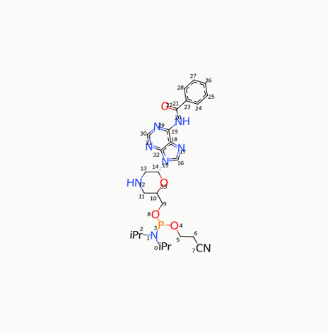 CC(C)N(C(C)C)P(OCCC#N)OCC1CNC[C@H](n2cnc3c(NC(=O)c4ccccc4)ncnc32)O1